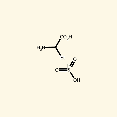 CCC(N)C(=O)O.O=[SH](=O)O